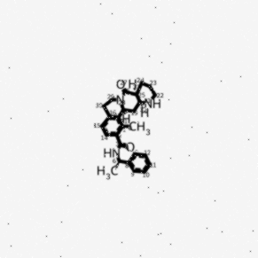 Cc1c(C(=O)N[C@H](C)c2ccccc2)ccc2c1[C@@H]1C[C@@H]3NCCC[C@@H]3C(=O)N1CC2